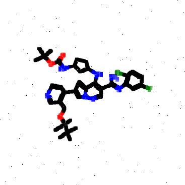 CC(C)(C)OC(=O)N[C@H]1CC[C@@H](Nc2c(/C(N)=N/c3cc(F)ccc3Cl)cnn3cc(-c4ccncc4CO[Si](C)(C)C(C)(C)C)cc23)C1